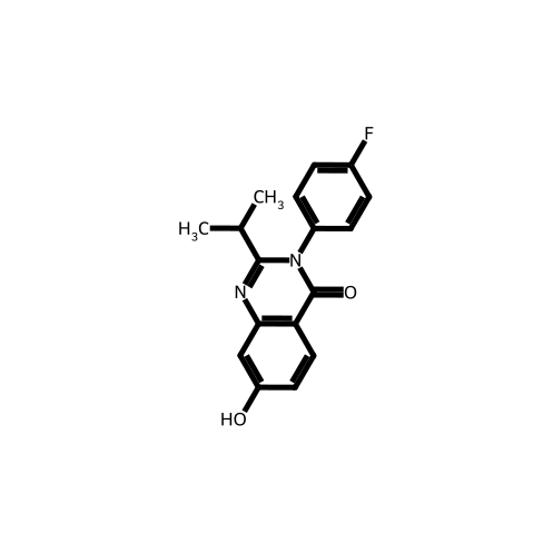 CC(C)c1nc2cc(O)ccc2c(=O)n1-c1ccc(F)cc1